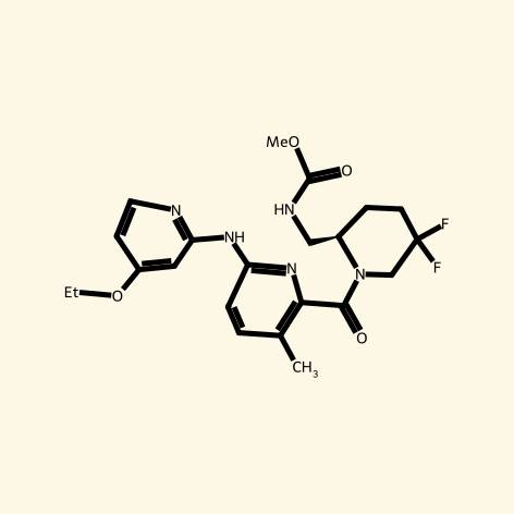 CCOc1ccnc(Nc2ccc(C)c(C(=O)N3CC(F)(F)CC[C@@H]3CNC(=O)OC)n2)c1